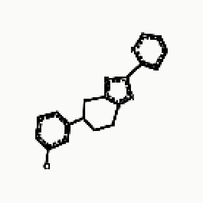 Clc1cccc(C2CCn3nc(-c4ccccn4)nc3C2)c1